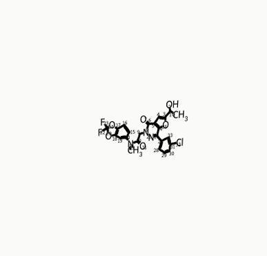 CC(O)c1cc2c(=O)n(CC(=O)N(C)c3ccc4c(c3)OC(F)(F)O4)nc(-c3cccc(Cl)c3)c2o1